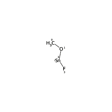 C[O][Sn][F]